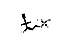 C#CC(C)(C)C(=CCOP(=O)(O)O)CC